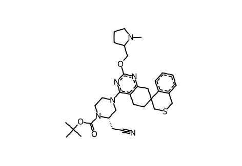 CN1CCCC1COc1nc2c(c(N3CCN(C(=O)OC(C)(C)C)[C@@H](CC#N)C3)n1)CCC1(CSCc3ccccc31)C2